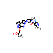 Cc1cc(C(=O)NC2(C)CCN(c3ccc(-c4cccn5nc(OCCC(C)O)c(C#N)c45)cn3)CC2)c(F)cn1